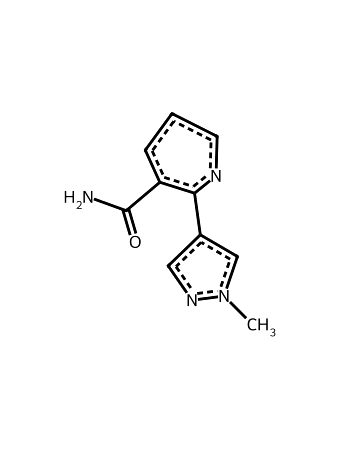 Cn1cc(-c2ncccc2C(N)=O)cn1